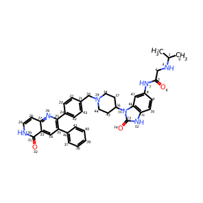 CC(C)NCC(=O)Nc1ccc2[nH]c(=O)n(C3CCN(Cc4ccc(-c5nc6cc[nH]c(=O)c6cc5-c5ccccc5)cc4)CC3)c2c1